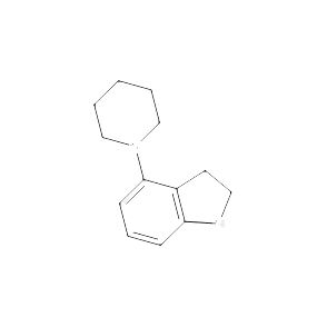 c1cc2c(c(N3CCCCC3)c1)CCN2